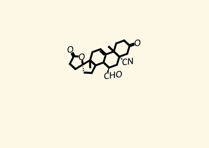 CC12CCC(=O)C[C@@]1(C#N)C[C@@H](C=O)C1C2=CCC2(C)C1CC[C@@]21CCC(=O)O1